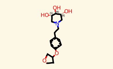 O[C@H]1[C@H](O)CN(CCc2ccc(OC3CCOC3)cc2)C[C@@H]1O